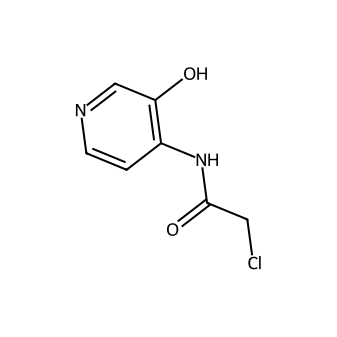 O=C(CCl)Nc1ccncc1O